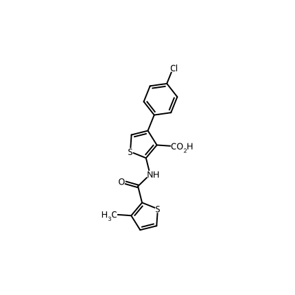 Cc1ccsc1C(=O)Nc1scc(-c2ccc(Cl)cc2)c1C(=O)O